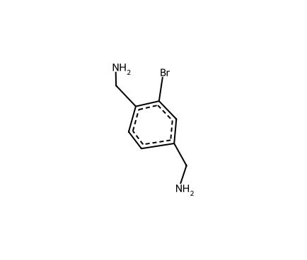 NCc1ccc(CN)c(Br)c1